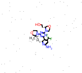 CC1(C)COCCN1c1nc(-c2cnc(N)cc2C(F)F)nc(N2CCOC[C@H]2CCO)n1